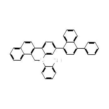 Nc1ccccc1N1Cc2c(ccc3ccccc23)-c2ccc(-c3ccc(-c4ccccc4)c4ccccc34)cc21